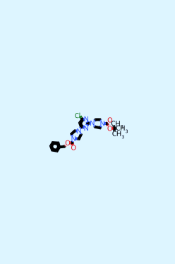 CC(C)(C)OC(=O)N1CCN(c2nc(Cl)cc(N3CCN(C(=O)OCc4ccccc4)CC3)n2)CC1